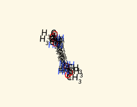 COC(=O)N[C@H](C(=O)N1CCCCC1c1nc(-c2ccc(-c3ccc(-c4c[nH]c(C5CCCCN5C(=O)[C@@H](NC(=O)OC)C(C)C)n4)cc3)cc2)c[nH]1)C(C)C